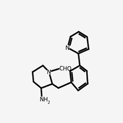 NC1CCCN(C=O)C1Cc1cccc(-c2ccccn2)c1